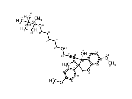 COc1ccc(C2(SC)COc3cc(OC)ccc3C2(O)C#CCOCCCCCO[Si](C)(C)C(C)(C)C)cc1